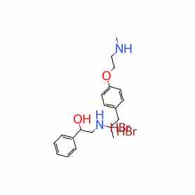 Br.Br.CNCCOc1ccc(CC(C)NCC(O)c2ccccc2)cc1